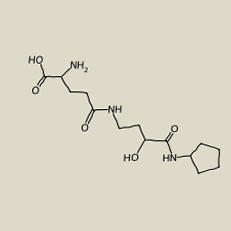 NC(CCC(=O)NCCC(O)C(=O)NC1CCCC1)C(=O)O